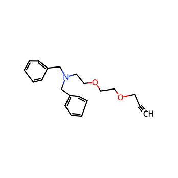 C#CCOCCOCCN(Cc1ccccc1)Cc1ccccc1